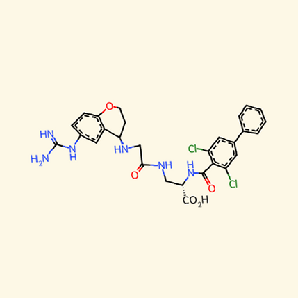 N=C(N)Nc1ccc2c(c1)[C@H](NCC(=O)NC[C@H](NC(=O)c1c(Cl)cc(-c3ccccc3)cc1Cl)C(=O)O)CCO2